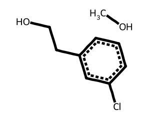 CO.OCCc1cccc(Cl)c1